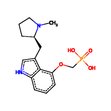 CN1CCC[C@@H]1Cc1c[nH]c2cccc(OCP(=O)(O)O)c12